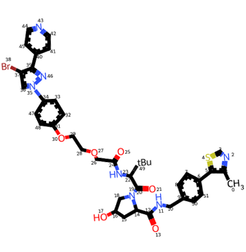 Cc1ncsc1-c1ccc(CNC(=O)C2CC(O)CN2C(=O)C(NC(=O)COCCOc2ccc(-n3cc(Br)c(-c4ccncc4)n3)cc2)C(C)(C)C)cc1